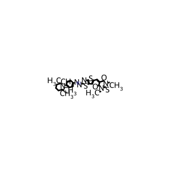 CCN1C(=O)C(=Cc2cc3sc(/N=N/c4ccc(N5C(C)(C)CCCC5(C)C)cc4)nc3s2)C(=O)N(CC)C1=S